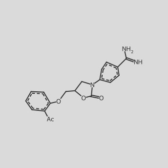 CC(=O)c1ccccc1OCC1CN(c2ccc(C(=N)N)cc2)C(=O)O1